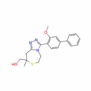 COc1cc(-c2ccccc2)ccc1-c1nnc2n1CCSC(C)(CO)C2